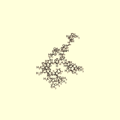 CC[C@H](C)[C@H](N)C(=O)N[C@@H](C)C(=O)N[C@@H](Cc1cn(C(=O)OC(C)(C)C)c2ccccc12)C(=O)N[C@@H](CC(C)C)C(=O)N[C@H](C(=O)N[C@@H](CCCCNC(=O)OC(C)(C)C)C(=O)NCC(=O)N[C@@H](CCCNC(=N)NS(=O)(=O)c1c(C)c(C)c2c(c1C)CC(C)(C)O2)C(=O)NCC(=O)NCC(=O)N[C@@H](CCCCNC(=O)OC(C)(C)C)C(=O)O)C(C)C